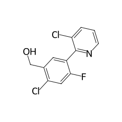 OCc1cc(-c2ncccc2Cl)c(F)cc1Cl